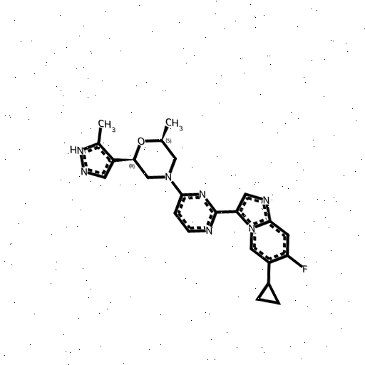 Cc1[nH]ncc1[C@@H]1CN(c2ccnc(-c3cnc4cc(F)c(C5CC5)cn34)n2)C[C@H](C)O1